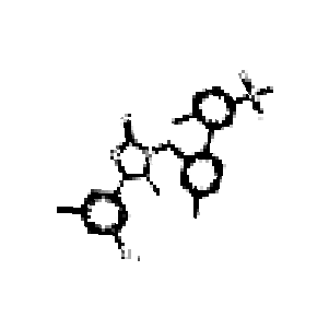 Cc1cc([C@H]2OC(=O)N(Cc3cc(C)ccc3-c3cc(S(C)(=O)=O)ccc3C)[C@H]2C)cc(C(F)(F)F)c1